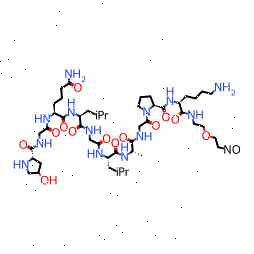 CC(C)C[C@H](NC(=O)CNC(=O)[C@H](CC(C)C)NC(=O)[C@H](CCCC(N)=O)NC(=O)CNC(=O)[C@@H]1C[C@@H](O)CN1)C(=O)N[C@@H](C)C(=O)NCC(=O)N1CCC[C@H]1C(=O)N[C@@H](CCCCN)C(=O)NCCOCCN=O